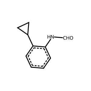 O=CNc1ccccc1C1CC1